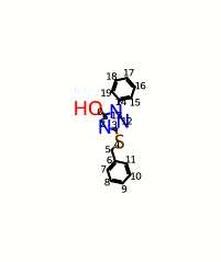 Oc1nc(SCc2ccccc2)nn1-c1ccccc1